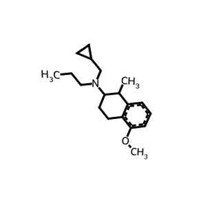 CCCN(CC1CC1)C1CCc2c(OC)cccc2C1C